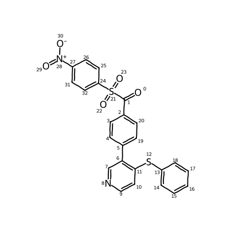 O=C(c1ccc(-c2cnccc2Sc2ccccc2)cc1)S(=O)(=O)c1ccc([N+](=O)[O-])cc1